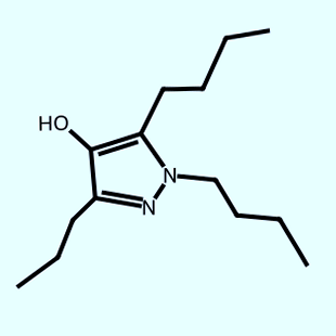 CCCCc1c(O)c(CCC)nn1CCCC